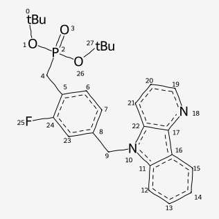 CC(C)(C)OP(=O)(Cc1ccc(Cn2c3ccccc3c3ncccc32)cc1F)OC(C)(C)C